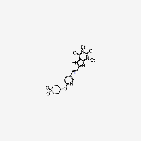 CCn1c(=O)c2c(nc(/C=C/c3ccc(OC4CCS(=O)(=O)CC4)nc3)n2C)n(CC)c1=O